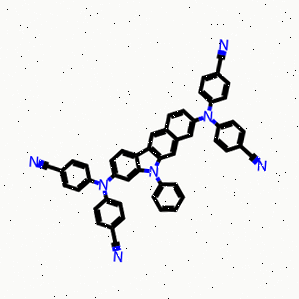 N#Cc1ccc(N(c2ccc(C#N)cc2)c2ccc3cc4c5ccc(N(c6ccc(C#N)cc6)c6ccc(C#N)cc6)cc5n(-c5ccccc5)c4cc3c2)cc1